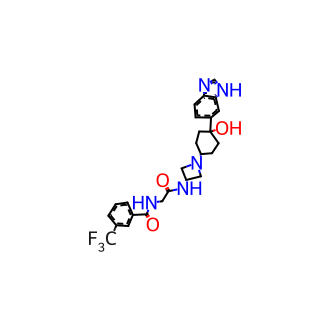 O=C(CNC(=O)c1cccc(C(F)(F)F)c1)NC1CN(C2CCC(O)(c3ccc4nc[nH]c4c3)CC2)C1